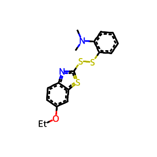 CCOc1ccc2nc(SSc3ccccc3N(C)C)sc2c1